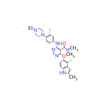 CCN1CCN(c2ccc(Nc3ncnc(Oc4ccc5[nH]c(C)cc5c4F)c3C(=O)N(C)C)cc2F)CC1